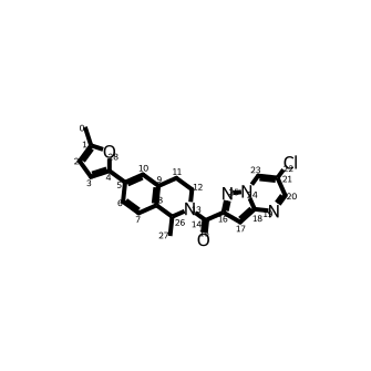 Cc1ccc(-c2ccc3c(c2)CCN(C(=O)c2cc4ncc(Cl)cn4n2)C3C)o1